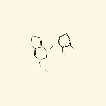 CN1C=C2NCN=C2N(C)C1.O=C([O-])c1ccccc1O.[Na+]